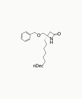 CCCCCCCCCCCCCCCC[C@]1(COCc2ccccc2)CC(=O)N1